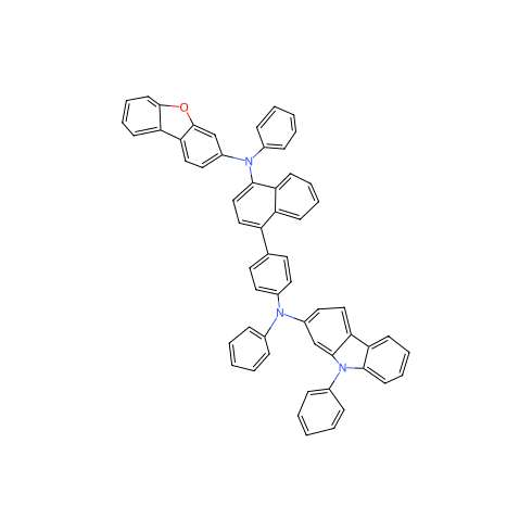 c1ccc(N(c2ccc(-c3ccc(N(c4ccccc4)c4ccc5c(c4)oc4ccccc45)c4ccccc34)cc2)c2ccc3c4ccccc4n(-c4ccccc4)c3c2)cc1